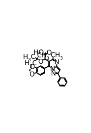 Cc1nc2cc(-c3ccccc3)nn2c(-c2ccc3c(c2)OCO3)c1C(OC(C)(C)C)C(=O)O